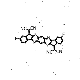 N#CC(C#N)=C1c2cc(F)ccc2-c2nc3cc4nc5c(nc4cc3nc21)-c1cc(F)ccc1C5=C(C#N)C#N